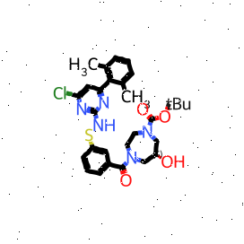 Cc1cccc(C)c1-c1cc(Cl)nc(NSc2cccc(C(=O)N3CCN(C(=O)OC(C)(C)C)C[C@@H](O)C3)c2)n1